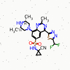 Cc1nc(-c2nnc(C(F)F)s2)c2cc(S(=O)(=O)NC3(C#N)CC3)cc(N3C[C@@H](C)N[C@@H](C)C3)c2n1